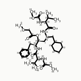 COCC(=O)O[C@@H](CN(CC1CCCCC1)NC(=O)[C@@H](NC(=O)OC)C(C)C)[C@H](Cc1ccccc1)NC(=O)[C@@H](NC(=O)OC)C(C)C